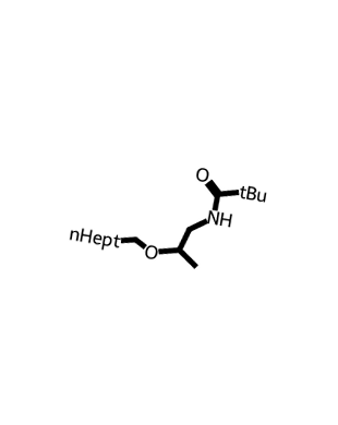 CCCCCCCCOC(C)CNC(=O)C(C)(C)C